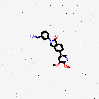 COc1cc(-c2ccc3c(c2)CN(c2cccc(CN)c2)C3=O)cnc1OC